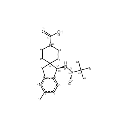 Cc1ccc2c(n1)CC1(CCN(C(=O)O)CC1)[C@H]2N[S@+]([O-])C(C)(C)C